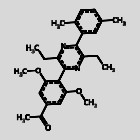 CCc1nc(-c2c(OC)cc(C(C)=O)cc2OC)c(CC)nc1-c1cc(C)ccc1C